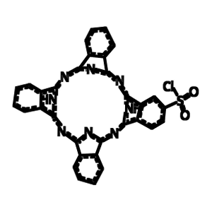 O=S(=O)(Cl)c1ccc2c3nc4nc(nc5[nH]c(nc6nc(nc([nH]3)c2c1)-c1ccccc1-6)c1ccccc51)-c1ccccc1-4